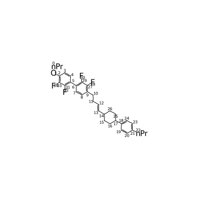 CCCOc1ccc(-c2ccc(CC/C=C/C3CCC(c4ccc(CCC)cc4)CC3)c(F)c2F)c(F)c1F